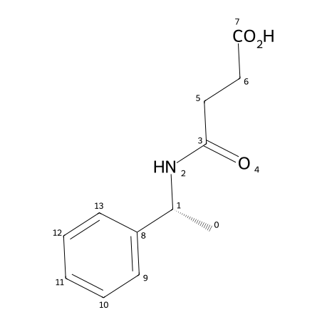 C[C@@H](NC(=O)CCC(=O)O)c1ccccc1